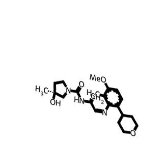 C=C(/C=N\c1c(C2CCOCC2)ccc(OC)c1C)NC(=O)N1CC[C@](C)(O)C1